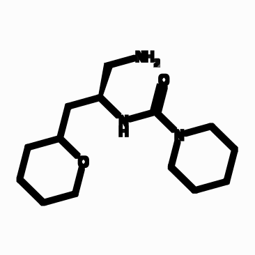 NC[C@H](CC1CCCCO1)NC(=O)N1CCCCC1